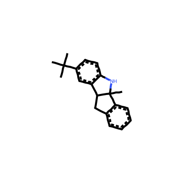 CC(C)(C)c1ccc2c(c1)C1Cc3ccccc3C1(C)N2